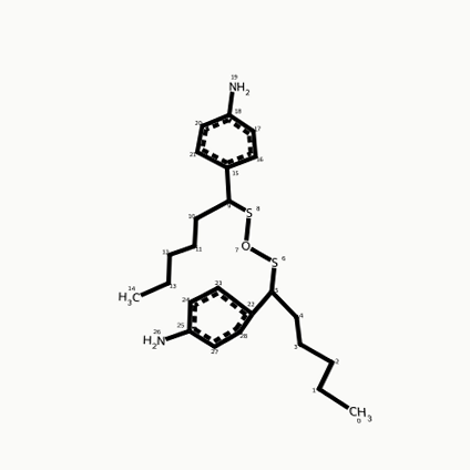 CCCCCC(SOSC(CCCCC)c1ccc(N)cc1)c1ccc(N)cc1